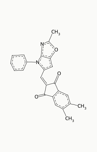 Cc1nc2c(cc(C=C3C(=O)c4cc(C)c(C)cc4C3=O)n2-c2ccccc2)o1